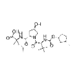 CC[C@@H]1C[C@]1(NC(=O)[C@@H]1C[C@@H](O)CN1C(=O)[C@@H](NC(=O)O[C@@H]1CC[C@H](C)C1)C(C)(C)C)C(=O)O